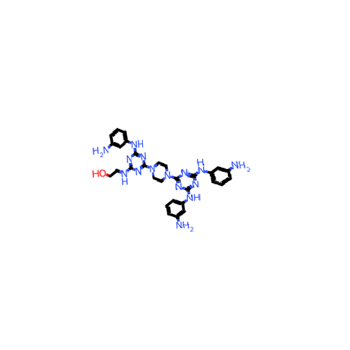 Nc1cccc(Nc2nc(NCCO)nc(N3CCN(c4nc(Nc5cccc(N)c5)nc(Nc5cccc(N)c5)n4)CC3)n2)c1